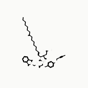 CC#CCOc1ccc(C[C@H](NC(=O)[C@@H](/C=C/CCCCCCC(=O)CCCCCCC)[C@@](O)(CC(=O)O)C(=O)O)C(=O)OCN2C(=O)c3ccccc3C2=O)cc1